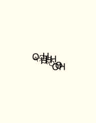 CCOC[C@@]1(O)CC[C@@]2(C)[C@H](CC[C@@H]3[C@@H]2CC[C@]2(C)[C@@H](C4(C)CO4)CC[C@@H]32)C1